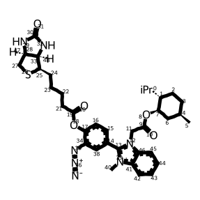 CC(C)[C@@H]1CC[C@@H](C)C[C@H]1OC(=O)Cn1c(-c2ccc(OC(=O)CCCC[C@H]3SC[C@H]4NC(=O)N[C@H]43)c(N=[N+]=[N-])c2)[n+](C)c2ccccc21